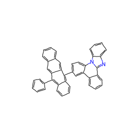 c1ccc(-c2c3ccccc3c(-c3ccc4c(c3)c3ccccc3c3nc5ccccc5n43)c3cc4ccccc4cc23)cc1